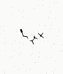 C#CCCOC(C)C(=O)OC(C)(C)C